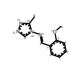 COc1ccccc1C=Nn1cnnc1C